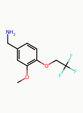 COc1cc(CN)ccc1OCC(F)(F)F